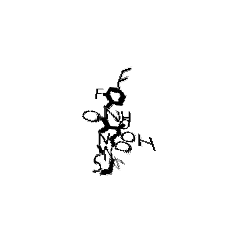 C[C@@H]1CCSC2Cn3cc(C(=O)NCc4ccc(F)cc4F)c(=O)c(O)c3C(=O)N21